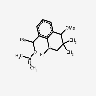 CCN1CC(C)(C)C(OC)c2cccc(C(O[SiH](C)C)C(C)(C)C)c21